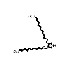 CCCCCCCCC=CCCCCCCCCOC[C@@H]1CNC[C@H]1COCCCCCCCCC=CCCCCCCCC